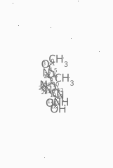 CCC(=O)c1cc(C)c(-c2cc3cnc(NC(=O)O)cc3n3ccnc23)cn1